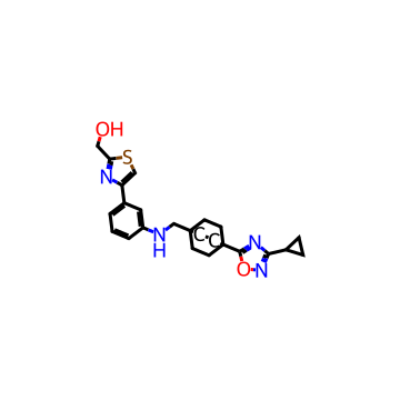 OCc1nc(-c2cccc(NCC34CCC(c5nc(C6CC6)no5)(CC3)CC4)c2)cs1